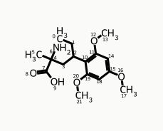 CCC(CC(C)(N)C(=O)O)c1c(OC)cc(OC)cc1OC